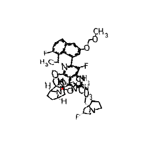 CCc1c(F)ccc2cc(OCOC)cc(-c3nc4c5c(nc(OC[C@]67CCCN6C[C@H](F)C7)nc5c3F)N3C[C@H]5CC[C@@H]([C@H]3CO4)N5C(=O)OC(C)(C)C)c12